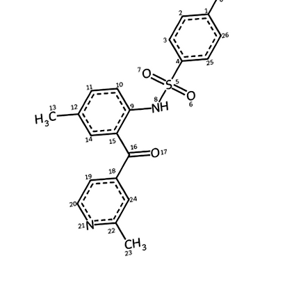 Cc1ccc(S(=O)(=O)Nc2ccc(C)cc2C(=O)c2ccnc(C)c2)cc1